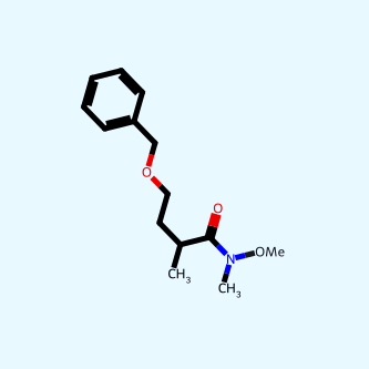 CON(C)C(=O)C(C)CCOCc1ccccc1